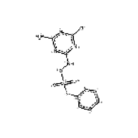 Nc1nc(Cl)nc(NOS(=O)(=O)[N]c2ccccc2)n1